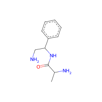 CC(N)C(=O)NC(CN)c1ccccc1